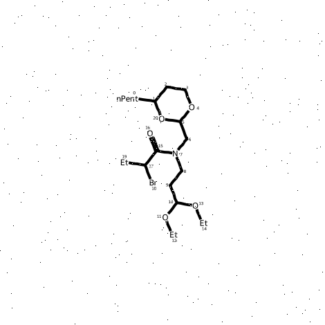 CCCCCC1CCOC(CN(CCC(OCC)OCC)C(=O)C(Br)CC)O1